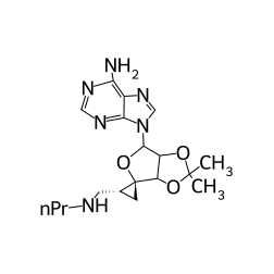 CCCNC[C@H]1C[C@]12OC(n1cnc3c(N)ncnc31)C1OC(C)(C)OC12